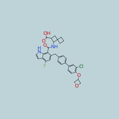 O=C(NC1C(C(=O)O)CC12CCC2)c1c(Cc2ccc(-c3ccc(OC4COC4)c(Cl)c3)cc2)cc(F)c2cc[nH]c12